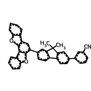 CC1(C)c2cc(-c3cccc(C#N)c3)ccc2-c2ccc(-c3cc4c5ccccc5oc4c4c3oc3ccccc34)cc21